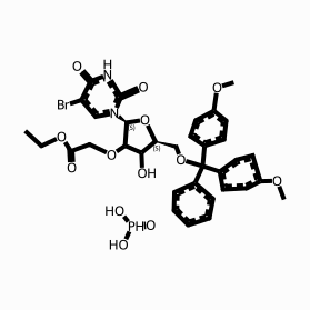 CCOC(=O)COC1C(O)[C@H](COC(c2ccccc2)(c2ccc(OC)cc2)c2ccc(OC)cc2)O[C@@H]1n1cc(Br)c(=O)[nH]c1=O.O=[PH](O)O